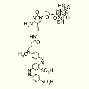 CN(CCCC(=O)NCC#Cc1cn([C@H]2CC[C@@H](COP(=O)(O)OP(=O)(O)OP(=O)(O)O)O2)c(=O)nc1N)c1ccc(/N=N\c2ccc(/N=N\c3ccc(S(=O)(=O)O)cc3)cc2S(=O)(=O)O)cc1